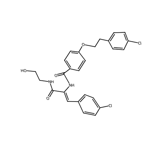 O=C(NCCO)C(=Cc1ccc(Cl)cc1)NC(=O)c1ccc(OCCc2ccc(Cl)cc2)cc1